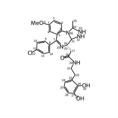 COc1ccc2c(c1)C(c1ccc(Cl)cc1)=N[C@@H](CC(=O)NCCc1cccc(O)c1O)C1NNC(C)N21